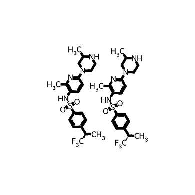 Cc1nc(N2CCNC(C)C2)ccc1NS(=O)(=O)c1ccc([C@@H](C)C(F)(F)F)cc1.Cc1nc(N2CCNC(C)C2)ccc1NS(=O)(=O)c1ccc([C@H](C)C(F)(F)F)cc1